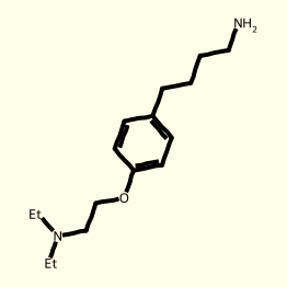 CCN(CC)CCOc1ccc(CCCCN)cc1